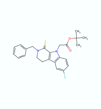 CC(C)(C)OC(=O)Cn1c2c(c3cc(F)ccc31)CCN(Cc1ccccc1)C2=S